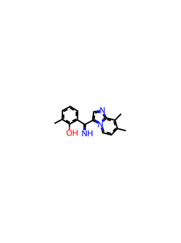 Cc1cccc(C(=N)c2cnc3c(C)c(C)ccn23)c1O